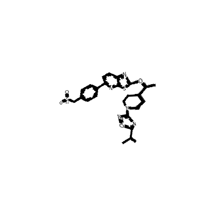 CC(C)c1nc(N2CCC(C(C)Oc3nc4ccc(-c5ccc(C[SH](=O)=O)cc5)nc4s3)CC2)no1